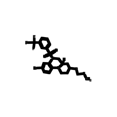 CSCOC1CCN2c3ccc(Br)cc3N(S(=O)(=O)c3cccc(C(F)(F)F)c3)C[C@@H]2C1